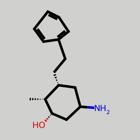 C[C@@H]1[C@H](CCc2ccccc2)CC(N)C[C@@H]1O